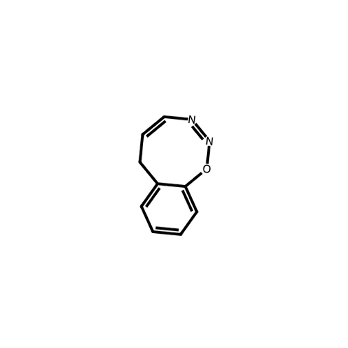 C1=C\N=N/Oc2ccccc2C/1